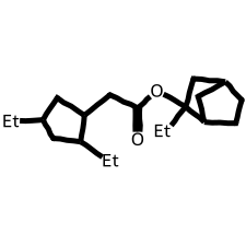 CCC1CC(CC)C(CC(=O)OC2(CC)CC3CCC2C3)C1